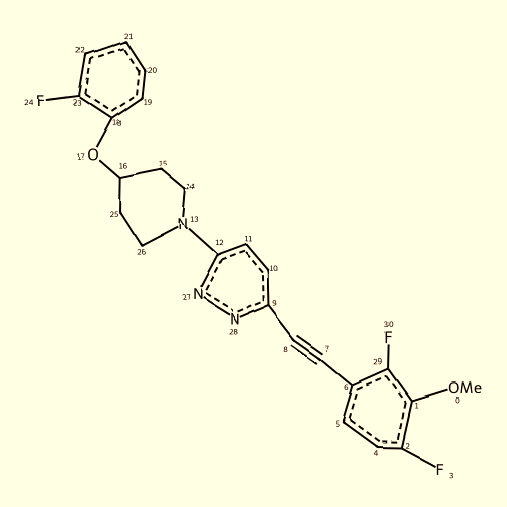 COc1c(F)ccc(C#Cc2ccc(N3CCC(Oc4ccccc4F)CC3)nn2)c1F